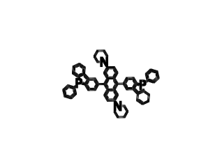 C1=Cc2c(p(-c3ccccc3)c3ccc(-c4c5ccc(N6CCCCC6)cc5c(-c5ccc6c(c5)c5ccccc5p6-c5ccccc5)c5ccc(N6CCCCC6)cc45)cc23)CC1